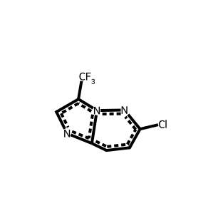 FC(F)(F)c1cnc2ccc(Cl)nn12